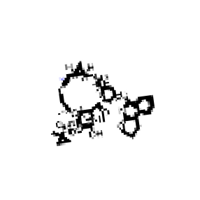 CC[C@]1(C(=O)NS(=O)(=O)C2(C)CC2)O[C@H](C)CC/C=C\[C@@H]2C[C@H]2NC(=O)[C@@H]2C[C@@H](Oc3nc4c(c5ccccc35)CCCO4)CN2C(=O)[C@H]1NC(=O)O